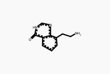 NCCc1cccc2c(=O)[nH]cnc12